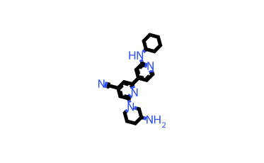 N#Cc1cc(-c2ccnc(NC3CCCCC3)c2)nc(N2CCCC(N)C2)c1